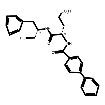 O=C(O)CC[C@H](NC(=O)c1ccc(-c2ccccc2)cc1)C(=O)N[C@H](CO)Cc1ccccc1